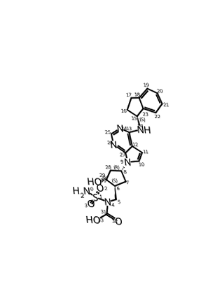 NS(=O)(=O)N(C[C@@H]1C[C@@H](n2ccc3c(N[C@H]4CCc5ccccc54)ncnc32)C[C@H]1O)C(=O)O